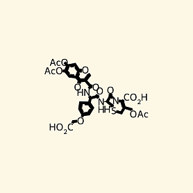 CC(=O)OCC1=C(C(=O)O)N2C(=O)[C@@H](NC(=O)C(NC(=O)c3coc4cc(OC(C)=O)c(OC(C)=O)cc4c3=O)c3ccc(OCC(=O)O)cc3)[C@@H]2SC1